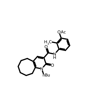 CCCCn1c2c(cc(C(=O)Nc3cccc(OC(C)=O)c3C)c1=O)CCCCCC2